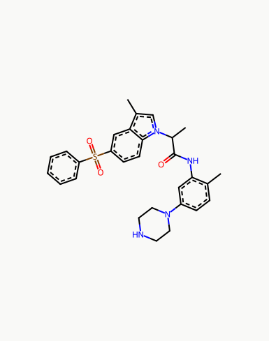 Cc1ccc(N2CCNCC2)cc1NC(=O)C(C)n1cc(C)c2cc(S(=O)(=O)c3ccccc3)ccc21